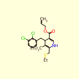 C=CCOC(=O)C1=CNC(CSCC)=C(C(=O)OCC)C1Cc1cccc(Cl)c1Cl